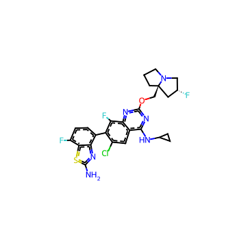 Nc1nc2c(-c3c(Cl)cc4c(NC5CC5)nc(OC[C@@]56CCCN5C[C@H](F)C6)nc4c3F)ccc(F)c2s1